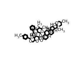 Cc1ccc(C2OCC3O[C@@H](O[C@H]4CC[C@@]5(C)C(=CC[C@H]6[C@@H]7C[C@@H]8O[C@]9(CC[C@@H](C)CO9)[C@@H](C)[C@@H]8[C@@]7(C)CC[C@@H]65)C4)C(OC4OC(C)C(C)C(C)C4OC(=O)c4ccccc4)[C@@H](C)[C@@H]3O2)cc1